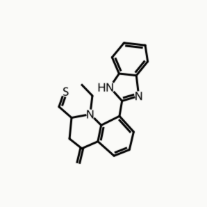 C=C1CC(C=S)N(CC)c2c1cccc2-c1nc2ccccc2[nH]1